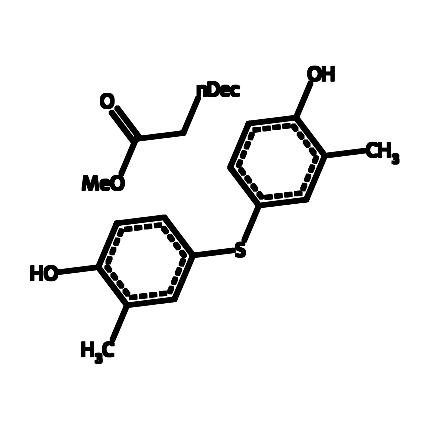 CCCCCCCCCCCC(=O)OC.Cc1cc(Sc2ccc(O)c(C)c2)ccc1O